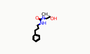 CN(CCO)C(=O)N[CH]CCc1ccccc1